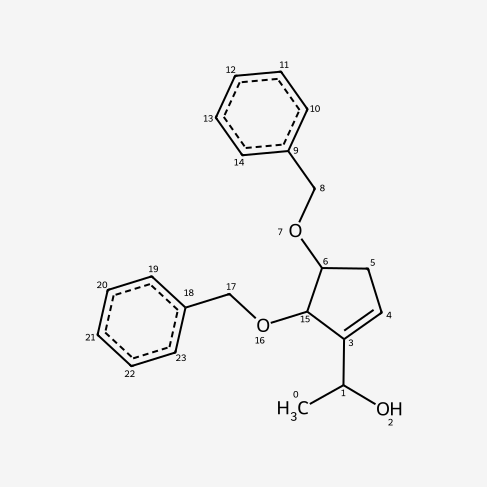 CC(O)C1=CCC(OCc2ccccc2)C1OCc1ccccc1